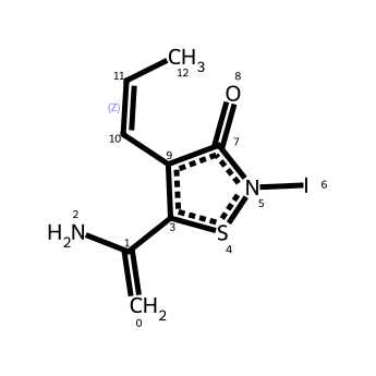 C=C(N)c1sn(I)c(=O)c1/C=C\C